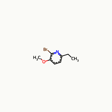 CCc1ccc(OC)c(Br)n1